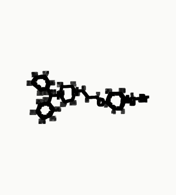 [Br][Mg][c]1ccc(OCCCN2CCN(C(c3ccccc3)c3ccccc3)CC2)cc1